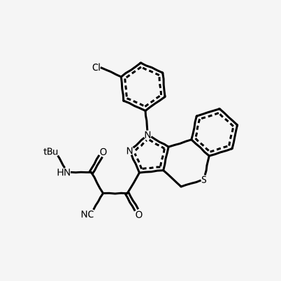 CC(C)(C)NC(=O)C(C#N)C(=O)c1nn(-c2cccc(Cl)c2)c2c1CSc1ccccc1-2